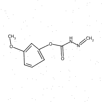 C=NNC(=O)Oc1cccc(OC)c1